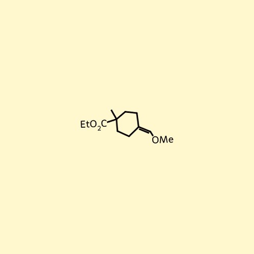 CCOC(=O)C1(C)CCC(=COC)CC1